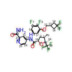 C[C@@H]1[C@@H](c2ccc(F)c(F)c2OCC2CC(F)(F)C2)[C@H](C(=O)Nc2ccnc(C(N)=O)c2)O[C@]1(C)C(F)(F)F